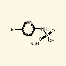 O=S(=O)(O)Nc1ccc(Br)cn1.[NaH]